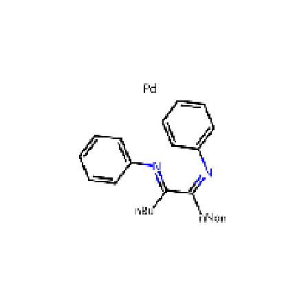 CCCCCCCCCC(=Nc1ccccc1)C(CCCC)=Nc1ccccc1.[Pd]